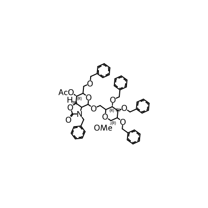 CO[C@@H]1OC(COC2OC(COCc3ccccc3)[C@H](OC(C)=O)[C@@H]3OC(=O)N(Cc4ccccc4)C23)[C@@H](OCc2ccccc2)[C@@H](OCc2ccccc2)C1OCc1ccccc1